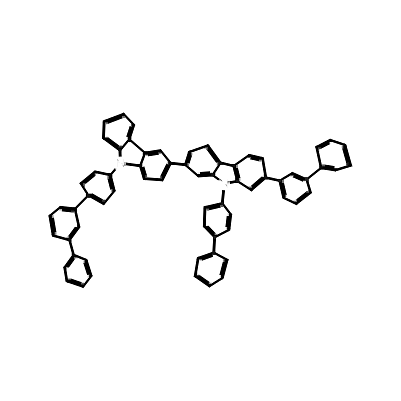 c1ccc(-c2ccc(-n3c4cc(-c5cccc(-c6ccccc6)c5)ccc4c4ccc(-c5ccc6c(c5)c5ccccc5n6-c5ccc(-c6cccc(-c7ccccc7)c6)cc5)cc43)cc2)cc1